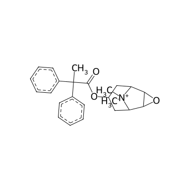 CC(C(=O)OC1CC2C3OC3C(C1)[N+]2(C)C)(c1ccccc1)c1ccccc1